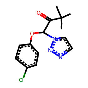 CC(C)(C)C(=O)C(Oc1ccc(Cl)cc1)n1ccnn1